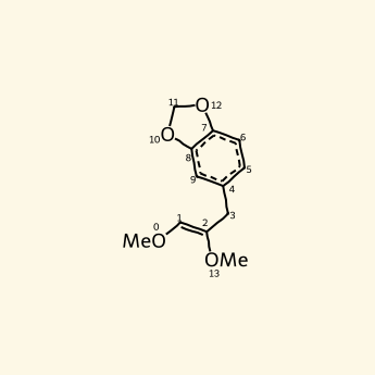 COC=C(Cc1ccc2c(c1)OCO2)OC